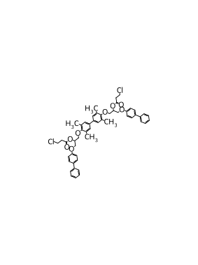 Cc1cc(-c2cc(C)c(OCC(COc3ccc(-c4ccccc4)cc3)OC(=O)CCCl)c(C)c2)cc(C)c1OCC(COc1ccc(-c2ccccc2)cc1)OC(=O)CCCl